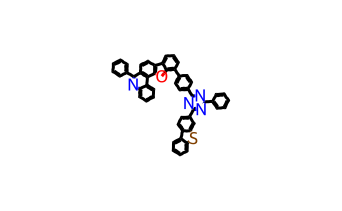 c1ccc(-c2nc(-c3ccc(-c4cccc5c4oc4c5ccc5c(-c6ccccc6)nc6ccccc6c54)cc3)nc(-c3ccc4c(c3)sc3ccccc34)n2)cc1